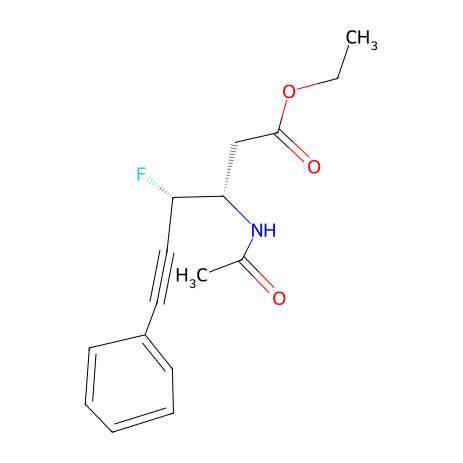 CCOC(=O)C[C@H](NC(C)=O)[C@@H](F)C#Cc1ccccc1